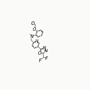 CN(Cc1ccc(-c2nnc(C(F)F)o2)cn1)c1ccccc1OC=O